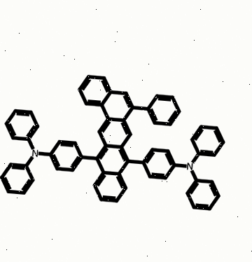 c1ccc(-c2cc3ccccc3c3cc4c(-c5ccc(N(c6ccccc6)c6ccccc6)cc5)c5ccccc5c(-c5ccc(N(c6ccccc6)c6ccccc6)cc5)c4cc23)cc1